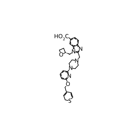 O=C(O)c1ccc2nc(CN3CCN(c4cccc(OCC5=CCSC=C5)n4)CC3)n(C[C@@H]3CCO3)c2c1